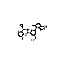 Cc1ccnc(C(NC(=O)c2cc(CBr)cc(-c3c(C)ccc4[nH]ncc34)c2)C2CC2)c1